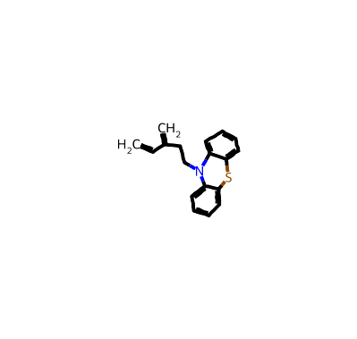 C=CC(=C)CCN1c2ccccc2Sc2ccccc21